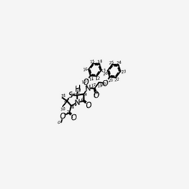 COC(=O)C1N2C(=O)C(N(Oc3ccccc3)C(=O)COc3ccccc3)[C@H]2SC1(C)C